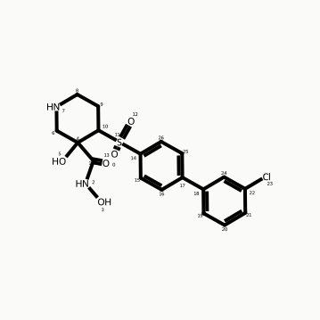 O=C(NO)C1(O)CNCCC1S(=O)(=O)c1ccc(-c2cccc(Cl)c2)cc1